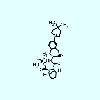 CC1(C)CCN(c2ccc(C[C@@H](C#N)NC(=O)[C@@H]3[C@H]4CC[C@H](C4)N3C(=O)OC(C)(C)C)c(F)c2)CC1